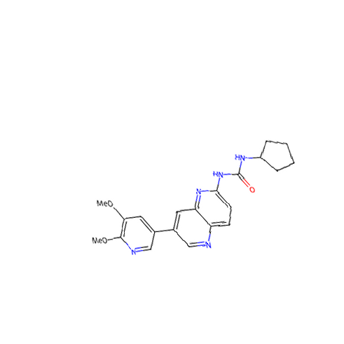 COc1cc(-c2cnc3ccc(NC(=O)NC4CCCC4)nc3c2)cnc1OC